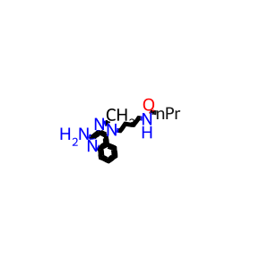 CCCC(=O)NCCCCn1c(C)nc2c(N)nc3ccccc3c21